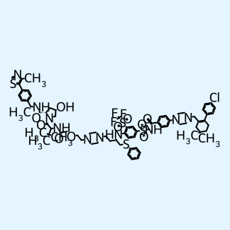 Cc1ncsc1-c1ccc([C@H](C)NC(=O)[C@@H]2C[C@@H](O)CN2C(=O)C(NC(=O)COCCN2CCN(CCC(CSc3ccccc3)Nc3ccc(S(=O)(=O)NC(=O)c4ccc(N5CCN(CC6=C(c7ccc(Cl)cc7)CCC(C)(C)C6)CC5)cc4)cc3S(=O)(=O)C(F)(F)F)CC2)C(C)(C)C)cc1